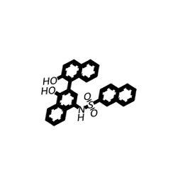 O=S(=O)(Nc1cc(-c2c(O)ccc3ccccc23)c(O)c2ccccc12)c1ccc2ccccc2c1